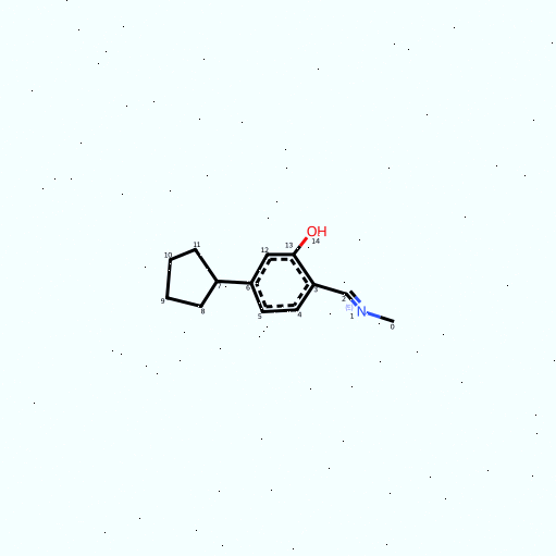 C/N=C/c1ccc(C2CCCC2)cc1O